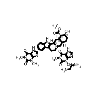 COC(=O)[C@@H]1[C@H]2C[C@H]3c4[nH]c5ccccc5c4CCN3C[C@@H]2CC[C@@H]1O.Cn1c(=O)c2[nH]cnc2n(C)c1=O.Cn1c(=O)c2[nH]cnc2n(C)c1=O.NCCN